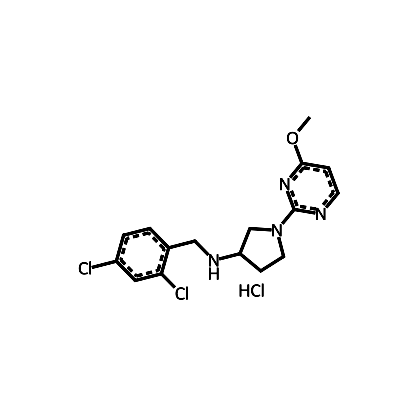 COc1ccnc(N2CCC(NCc3ccc(Cl)cc3Cl)C2)n1.Cl